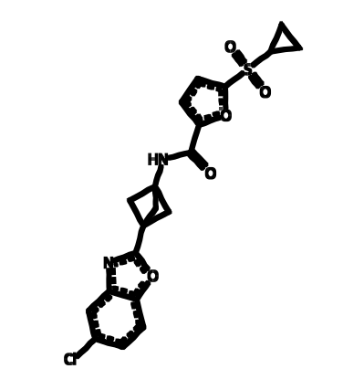 O=C(NC12CC(c3nc4cc(Cl)ccc4o3)(C1)C2)c1ccc(S(=O)(=O)C2CC2)o1